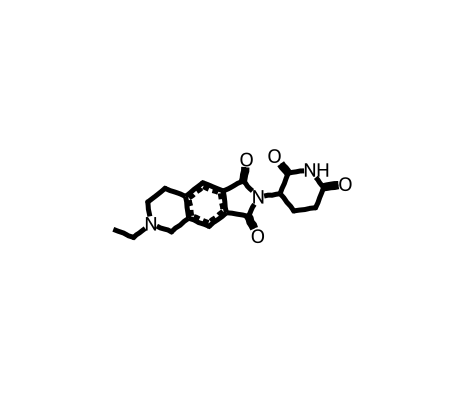 CCN1CCc2cc3c(cc2C1)C(=O)N(C1CCC(=O)NC1=O)C3=O